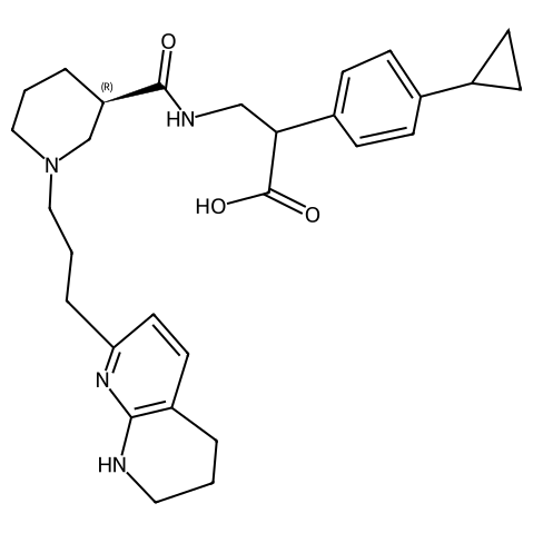 O=C(O)C(CNC(=O)[C@@H]1CCCN(CCCc2ccc3c(n2)NCCC3)C1)c1ccc(C2CC2)cc1